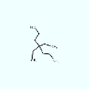 [CH2]CCC(CC)(CC)CCC